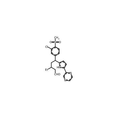 CCC(CC=O)CC(c1ccc(S(C)(=O)=O)c(Cl)c1)c1ccc(-c2cnccn2)[nH]1